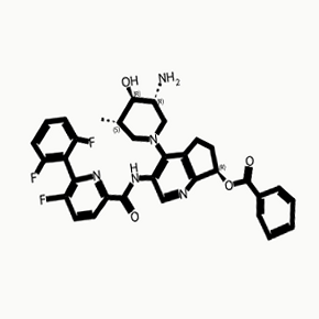 C[C@H]1CN(c2c(NC(=O)c3ccc(F)c(-c4c(F)cccc4F)n3)cnc3c2CC[C@H]3OC(=O)c2ccccc2)C[C@@H](N)[C@@H]1O